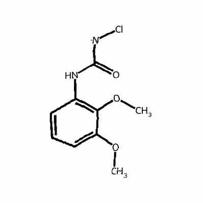 COc1cccc(NC(=O)[N]Cl)c1OC